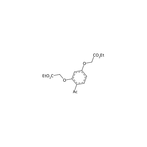 CCOC(=O)COc1ccc(C(C)=O)c(OCC(=O)OCC)c1